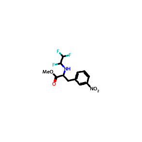 COC(=O)C(Cc1cccc([N+](=O)[O-])c1)NC(F)C(F)F